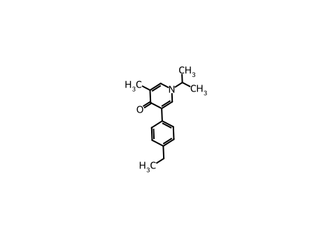 CCc1ccc(-c2cn(C(C)C)cc(C)c2=O)cc1